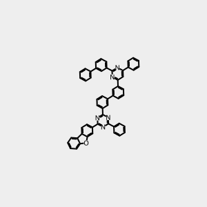 c1ccc(-c2cccc(-c3nc(-c4ccccc4)cc(-c4cccc(-c5cccc(-c6nc(-c7ccccc7)nc(-c7ccc8c(c7)oc7ccccc78)n6)c5)c4)n3)c2)cc1